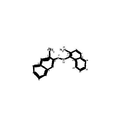 Nc1cc2ccccc2cc1SSc1c(N)ccc2ccccc12